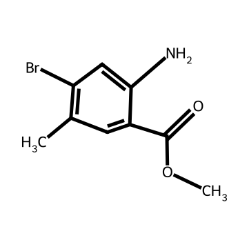 COC(=O)c1cc(C)c(Br)cc1N